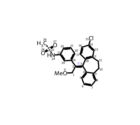 COC/C(=C1\c2ccccc2CCc2cc(Cl)ccc21)c1cccc(NS(C)(=O)=O)c1